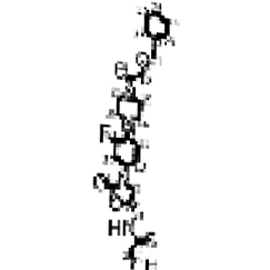 CCC(=S)NC[C@H]1CN(c2ccc(N3CCN(C(=O)COCc4ccccc4)CC3)c(F)c2)C(=O)O1